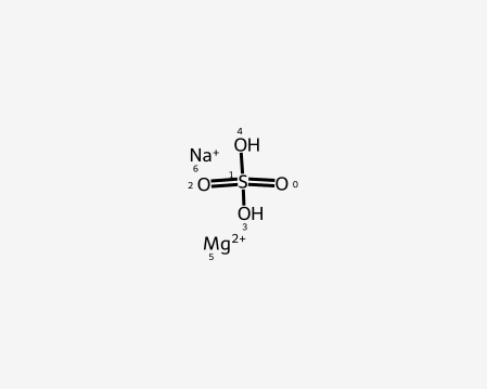 O=S(=O)(O)O.[Mg+2].[Na+]